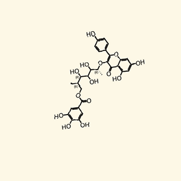 C[C@H](COC(=O)c1cc(O)c(O)c(O)c1)[C@@H](O)C(O)C(O)[C@@H](C)Oc1c(-c2ccc(O)cc2)oc2cc(O)cc(O)c2c1=O